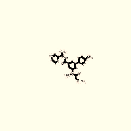 COCC(=O)N(C)c1cc(C(=O)NC(C)c2cnccn2)cc(-c2ccc(C)cc2)c1